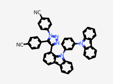 N#Cc1ccc(-c2c(-c3cccc4c5ccccc5n(-c5cccc(-n6c7ccccc7c7ccccc76)c5)c34)nnn2-c2ccc(C#N)cc2)cc1